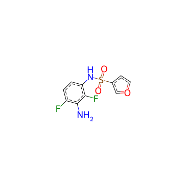 Nc1c(F)ccc(NS(=O)(=O)c2ccoc2)c1F